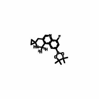 [2H]C1([2H])NC2(CC2)Cc2cnc3c(F)cc(B4OC(C)(C)C(C)(C)O4)cc3c21